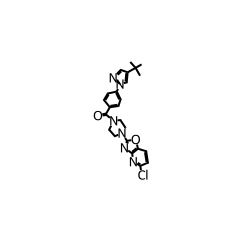 CC(C)(C)c1cnn(-c2ccc(C(=O)N3CCN(c4nc5nc(Cl)ccc5o4)CC3)cc2)c1